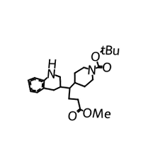 COC(=O)CCC(C1CCN(C(=O)OC(C)(C)C)CC1)C1CNc2ccccc2C1